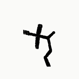 C=CCC(C)S(=O)(=O)O